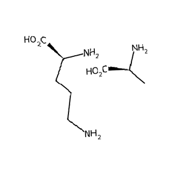 C[C@H](N)C(=O)O.NCCC[C@H](N)C(=O)O